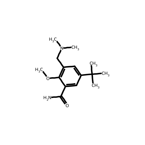 COc1c(CN(C)C)cc(C(C)(C)C)cc1C(N)=O